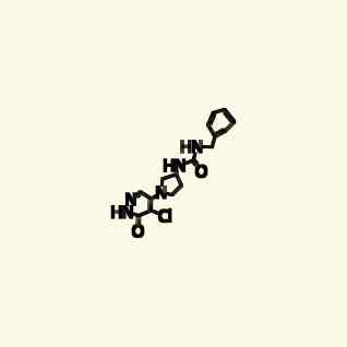 O=C(NCc1ccccc1)NC1CCN(c2cn[nH]c(=O)c2Cl)C1